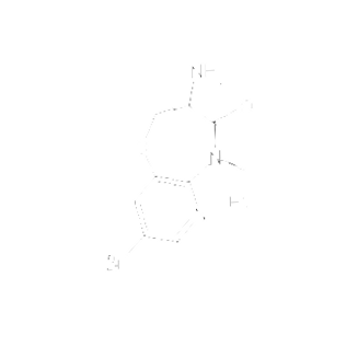 CN1C(=O)C(N)COc2cc(Br)cnc21.Cl